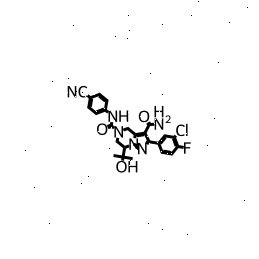 CC(C)(O)C1CN(C(=O)Nc2ccc(C#N)cc2)Cc2c(C(N)=O)c(-c3ccc(F)c(Cl)c3)nn21